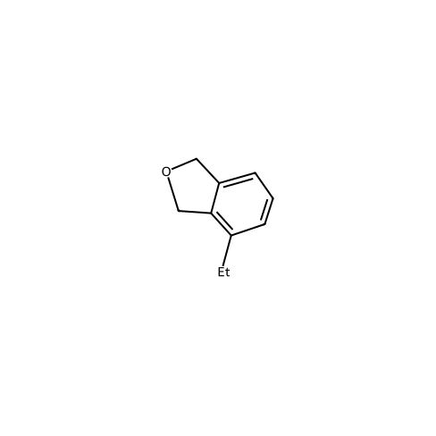 CCc1cccc2c1COC2